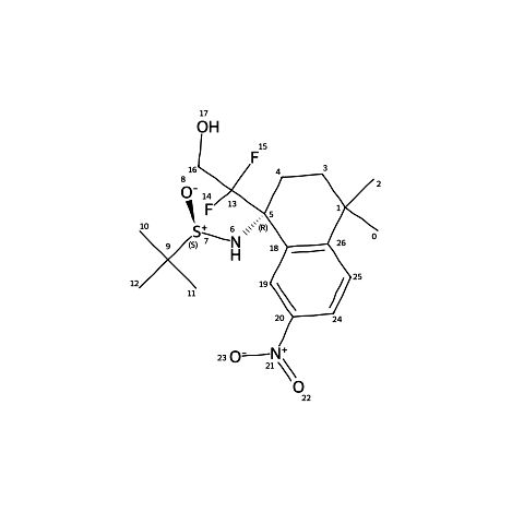 CC1(C)CC[C@](N[S@+]([O-])C(C)(C)C)(C(F)(F)CO)c2cc([N+](=O)[O-])ccc21